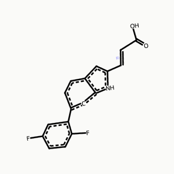 O=C(O)/C=C/c1cc2ccc(-c3cc(F)ccc3F)cc2[nH]1